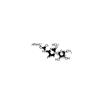 CCCCCOC(=O)Nc1nc(=O)n([C@@H]2O[C@H](C)[C@@H](O)[C@H]2O)cc1F.Cl